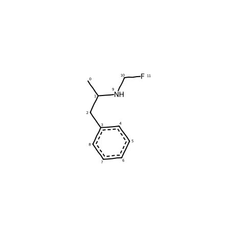 CC(Cc1ccccc1)NCF